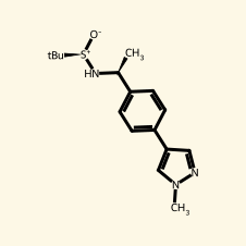 C[C@H](N[S@+]([O-])C(C)(C)C)c1ccc(-c2cnn(C)c2)cc1